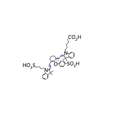 CC1(C)C(/C=C/C2=C(Oc3ccc(S(=O)(=O)O)cc3)C(=C/C=C3/N(CCCCCC(=O)O)c4ccccc4C3(C)C)/CCC2)=[N+](CCCCS(=O)(=O)O)c2ccccc21